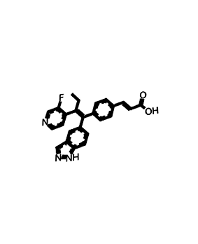 CCC(=C(c1ccc(C=CC(=O)O)cc1)c1ccc2[nH]ncc2c1)c1ccncc1F